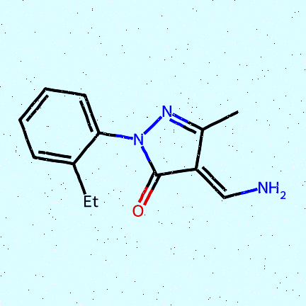 CCc1ccccc1N1N=C(C)/C(=C\N)C1=O